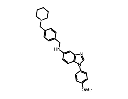 COc1ccc(-n2cnc3cc(NCc4ccc(CN5CCCCC5)cc4)ccc32)cc1